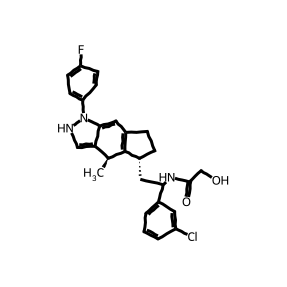 C[C@H]1C2=CNN(c3ccc(F)cc3)C2=CC2=C1[C@@H](CC(NC(=O)CO)c1cccc(Cl)c1)CC2